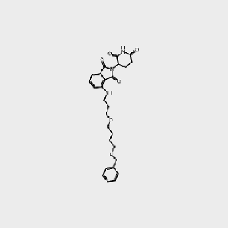 O=C1CCC(N2C(=O)c3cccc(NCCCOCCCCOCc4ccccc4)c3C2=O)C(=O)N1